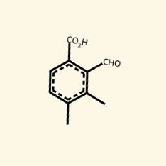 Cc1ccc(C(=O)O)c(C=O)c1C